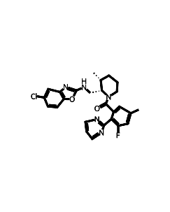 Cc1cc(F)c(-c2ncccn2)c(C(=O)N2CCC[C@@H](C)[C@H]2CNc2nc3cc(Cl)ccc3o2)c1